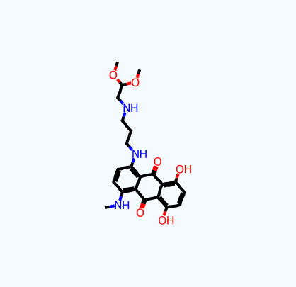 CNc1ccc(NCCCNCC(OC)OC)c2c1C(=O)c1c(O)ccc(O)c1C2=O